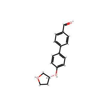 O=Cc1ccc(-c2ccc(O[C@@H]3CCOC3)cc2)cc1